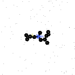 c1ccc(C2=NC(c3ccc4c(c3)sc3cc5c6ccccc6c6ccccc6c5cc34)=NC(c3cccc(-c4cc(-c5ccccc5)cc(-c5ccc6c(ccc7ccccc76)c5)c4)c3)N2)cc1